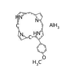 COc1ccc(-c2cc3cc4nc(cc5ccc(cc6nc(cc2[nH]3)C=C6)[nH]5)C=C4)cc1.[AlH3]